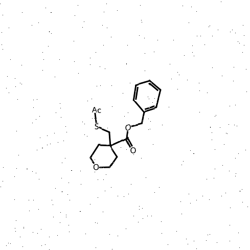 CC(=O)SCC1(C(=O)OCc2ccccc2)CCOCC1